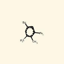 Cc1cc(C(C)(C)C)cc(P)c1C